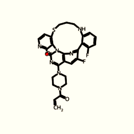 C=CC(=O)N1CCN(c2nc(=O)n3c4nc(c(F)cc24)-c2c(F)cccc2NCCCSc2ccnc(C(C)C)c2-3)CC1